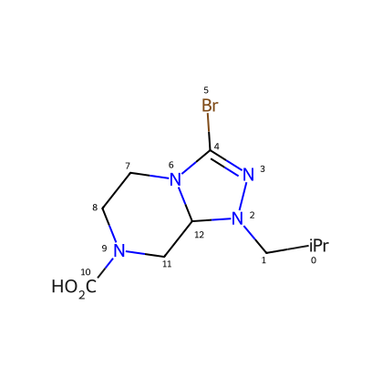 CC(C)CN1N=C(Br)N2CCN(C(=O)O)CC12